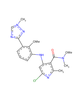 COc1c(Nc2cc(Cl)nc(C)c2C(=O)N(C)OC)cccc1-c1ncn(C)n1